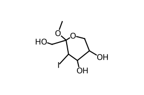 COC1(CO)OCC(O)C(O)C1I